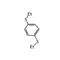 CCSc1[c]cc(SCC)cc1